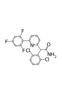 NC(=O)C(c1cccc(-c2c(F)cc(F)cc2F)n1)c1c(Cl)cccc1Cl